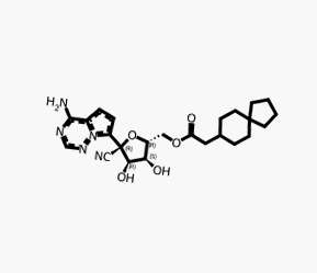 N#C[C@@]1(c2ccc3c(N)ncnn23)O[C@H](COC(=O)CC2CCC3(CCCC3)CC2)[C@@H](O)[C@H]1O